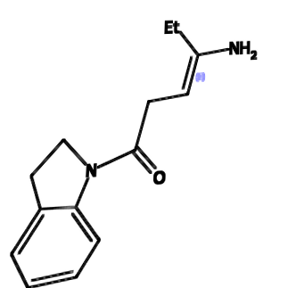 CC/C(N)=C\CC(=O)N1CCc2ccccc21